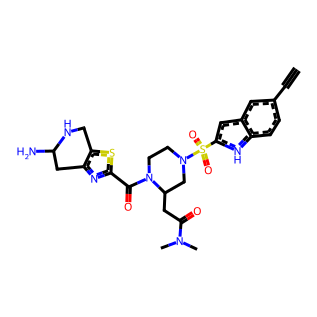 C#Cc1ccc2[nH]c(S(=O)(=O)N3CCN(C(=O)c4nc5c(s4)CNC(N)C5)C(CC(=O)N(C)C)C3)cc2c1